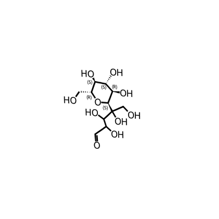 O=CC(O)C(O)C(O)(CO)[C@H]1O[C@H](CO)[C@@H](O)[C@H](O)[C@H]1O